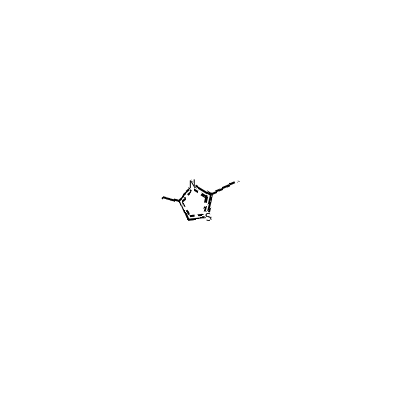 [CH2]c1nc(C)cs1